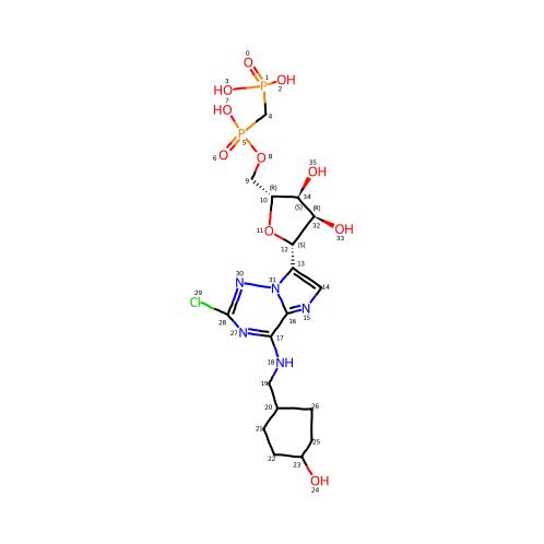 O=P(O)(O)CP(=O)(O)OC[C@H]1O[C@@H](c2cnc3c(NCC4CCC(O)CC4)nc(Cl)nn23)[C@H](O)[C@@H]1O